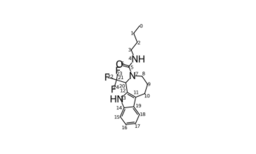 CCCCNC(=O)N1CCCc2c([nH]c3ccccc23)C1C(F)(F)F